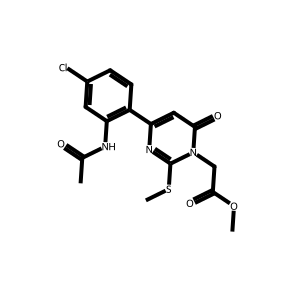 COC(=O)Cn1c(SC)nc(-c2ccc(Cl)cc2NC(C)=O)cc1=O